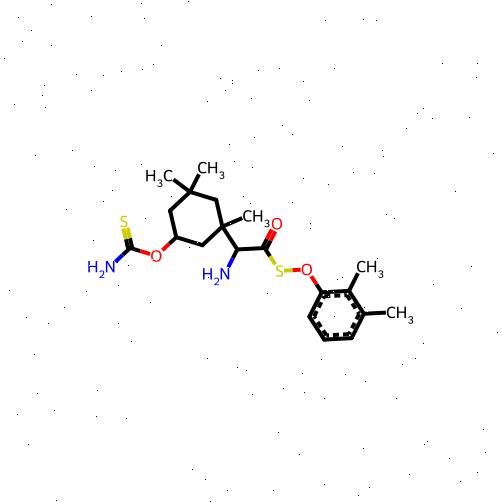 Cc1cccc(OSC(=O)C(N)C2(C)CC(OC(N)=S)CC(C)(C)C2)c1C